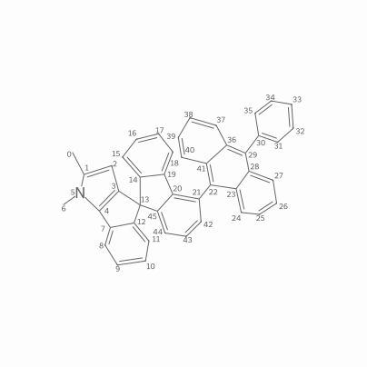 Cc1cc2c(n1C)-c1ccccc1C21c2ccccc2-c2c(-c3c4ccccc4c(-c4ccccc4)c4ccccc34)cccc21